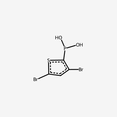 OP(O)c1sc(Br)cc1Br